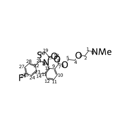 CNCCOCCOC(=O)c1cccc(C)c1N1C(=O)CSC1c1ccc(F)cc1